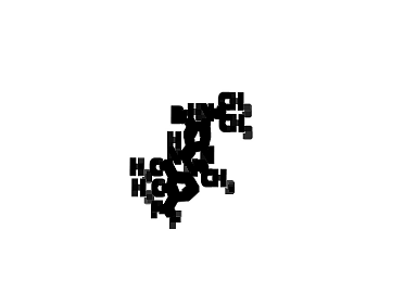 Cc1nc(NC(C)c2cccc(C(F)F)c2C)c2cc(Br)c(NC(C)C)cc2n1